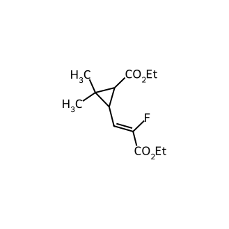 CCOC(=O)/C(F)=C/C1C(C(=O)OCC)C1(C)C